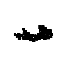 CCOC(=O)CCC(NC(=O)CC1CCN(c2ccc(NC(=O)c3cccc(C)c3-c3ccc(C(F)(F)F)cc3)cc2)CC1)C(=O)OCC